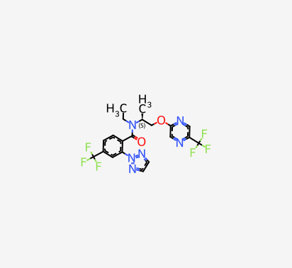 CCN(C(=O)c1ccc(C(F)(F)F)cc1-n1nccn1)[C@@H](C)COc1cnc(C(F)(F)F)cn1